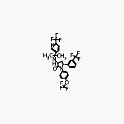 CC(C)(N[C@H]1C[C@@H](c2cccc(C(F)(F)F)c2)N(c2ccc(OC(F)(F)F)cc2)C1=O)c1ccc(C(F)(F)F)nc1